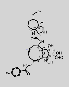 CC(C)C[C@@H]1CCO[C@@H]2[C@H](CN[C@@H]2C(=O)N[C@@H]2C/C=C\C[C@@H](CNC(=O)c3ccc(F)cc3)S[C@H]3O[C@H]2[C@H](O)[C@H](O)[C@H]3O)C1.O=CO